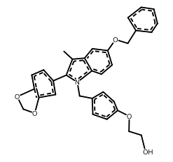 Cc1c(-c2ccc3c(c2)OCO3)n(Cc2ccc(OCCO)cc2)c2ccc(OCc3ccccc3)cc12